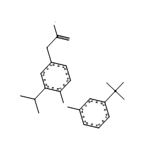 CC(C)c1cc(CC(=O)O)ccc1Oc1cccc(C(F)(F)F)c1